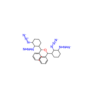 [N-]=[N+]=NC1CCCC(C(OC(c2ccccc2)C2CCCC(N=[N+]=[N-])C2N=[N+]=[N-])c2ccccc2)C1N=[N+]=[N-]